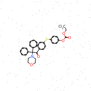 O=C(OCC(Cl)(Cl)Cl)Oc1ccc(Sc2ccc(C(=O)C(c3ccccc3)(c3ccccc3)N3CCOCC3)cc2)cc1